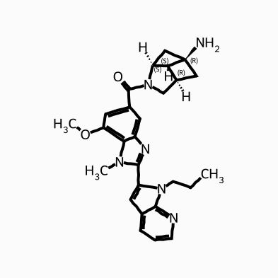 CCCn1c(-c2nc3cc(C(=O)N4C[C@@H]5C[C@@]6(N)C[C@H]4[C@H]56)cc(OC)c3n2C)cc2cccnc21